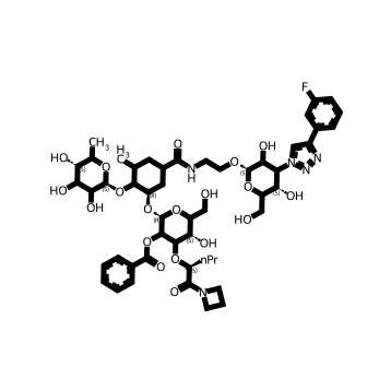 CCC[C@H](OC1C(OC(=O)c2ccccc2)[C@H](O[C@@H]2CC(C(=O)NCCO[C@H]3OC(CO)[C@@H](O)C(n4cc(-c5cccc(F)c5)nn4)C3O)CC(C)C2O[C@@H]2OC(C)[C@@H](O)C(O)C2O)OC(CO)[C@@H]1O)C(=O)N1CCC1